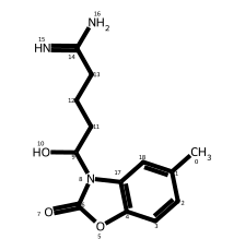 Cc1ccc2oc(=O)n(C(O)CCCC(=N)N)c2c1